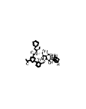 CC[C@H](Cc1ccccc1)NC(=O)c1cc(C(C)=O)cc(-c2cccc(CN3O[C@@H](CO)[C@@H]([C@H](C)O)[C@H]3C(=O)N[C@H]3C[C@H]4C[C@@H]([C@@H]3C)C4(C)C)c2OC)c1